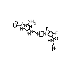 CN(C)CCNC(=O)c1cc(N2CCN(CCn3ncc4c3nc(N)n3nc(-c5ccco5)nc43)CC2)c(F)cc1F